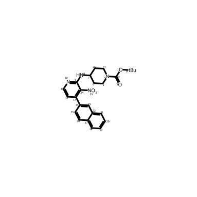 CC(C)(C)OC(=O)N1CCC(Nc2nccc(-c3ccc4ccccc4c3)c2[N+](=O)[O-])CC1